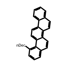 CCCCCCCCCCc1cccc2ccc3c4ccc5ccccc5c4ccc3c12